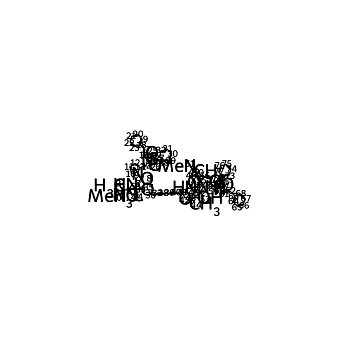 CN[C@@H](C)C(=O)N[C@H](C(=O)N1CCC[C@H]1CN(CCc1ccccc1)S(=O)(=O)c1ccccc1)[C@@H](C)OCC#CC#CCO[C@H](C)[C@H](NOC[C@H](C)NC)C(O)N1CCC[C@H]1CN(CCc1ccccc1)S(=O)(=O)c1ccccc1